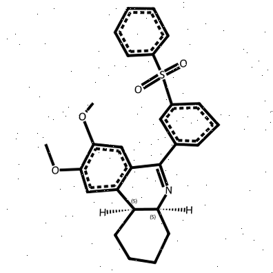 COc1cc2c(cc1OC)[C@@H]1CCCC[C@@H]1N=C2c1cccc(S(=O)(=O)c2ccccc2)c1